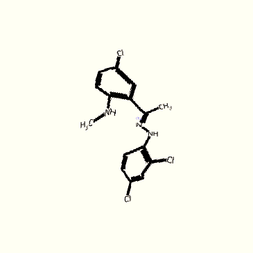 CNc1ccc(Cl)cc1/C(C)=N/Nc1ccc(Cl)cc1Cl